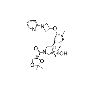 Cc1ccc(N2CC(Oc3cc([C@@H]4CN(C(=O)[C@@H]5COC(C)(C)O5)C[C@@]4(C)[C@@H](C)O)ccc3C)C2)nc1